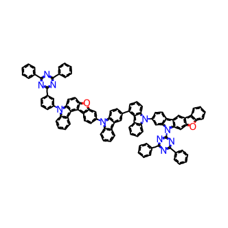 c1ccc(-c2nc(-c3ccccc3)nc(-c3cccc(-n4c5ccccc5c5c6c(ccc54)oc4cc(-n5c7ccccc7c7cc(-c8cccc9c8c8ccccc8n9-c8ccc9c%10cc%11c(cc%10n(-c%10nc(-c%12ccccc%12)nc(-c%12ccccc%12)n%10)c9c8)oc8ccccc8%11)ccc75)ccc46)c3)n2)cc1